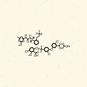 COc1c(Cl)ccc(Cl)c1C(=O)O.COc1nc(C)nc(NC(=O)NS(=O)(=O)c2ccccc2CCC(F)(F)F)n1.C[C@H](OC(=O)c1cc(Oc2ccc(C(F)(F)F)cc2Cl)ccc1Cl)C(=O)O